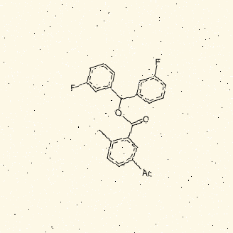 [CH2]C(=O)c1ccc(C)c(C(=O)OC(c2cccc(F)c2)c2cccc(F)c2)c1